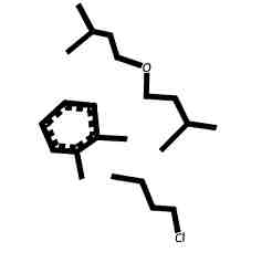 CC(C)CCOCCC(C)C.CCCCCl.Cc1ccccc1C